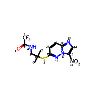 CC(C)(CNC(=O)C(F)(F)F)Sc1ccc2ncc([N+](=O)[O-])n2n1